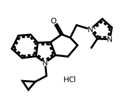 Cc1nccn1CC1CCc2c(c3ccccc3n2CC2CC2)C1=O.Cl